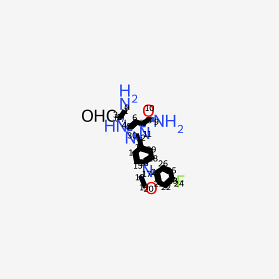 NC[C@@H](C=O)Nc1cc(C(N)=O)nc(-c2ccc(N3CCOc4cc(F)ccc43)cc2)n1